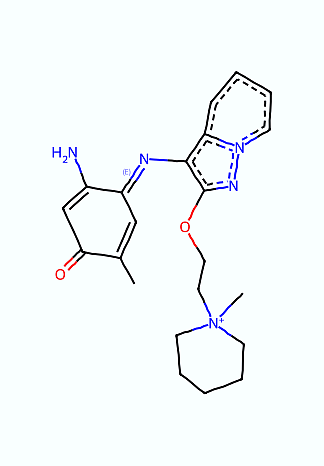 CC1=C/C(=N\c2c(OCC[N+]3(C)CCCCC3)nn3ccccc23)C(N)=CC1=O